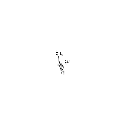 CC#N.[Cu+]